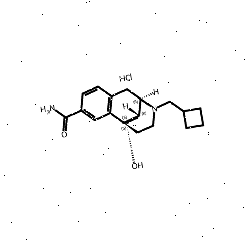 Cl.NC(=O)c1ccc2c(c1)[C@]13CCN(CC4CCC4)[C@H](C2)[C@@H]1CC[C@H](O)C3